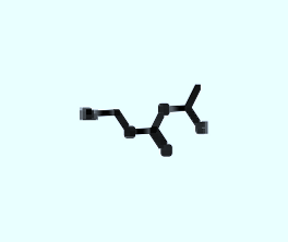 CCC(C)COC(=O)OC(C)Cl